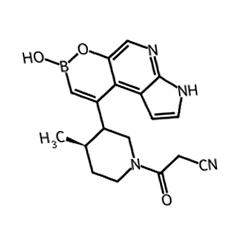 C[C@@H]1CCN(C(=O)CC#N)CC1C1=CB(O)Oc2cnc3[nH]ccc3c21